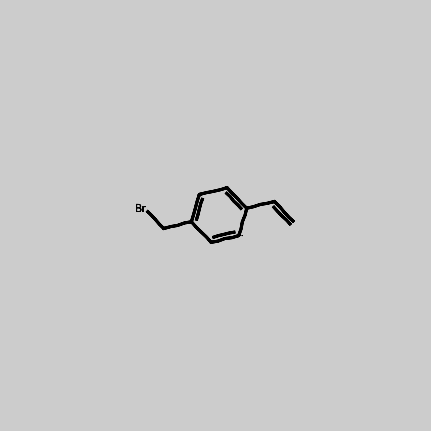 C=Cc1[c]cc(CBr)cc1